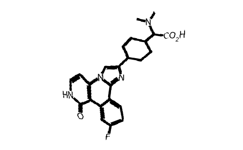 CN(C)C(C(=O)O)C1CCC(c2cn3c4cc[nH]c(=O)c4c4cc(F)ccc4c3n2)CC1